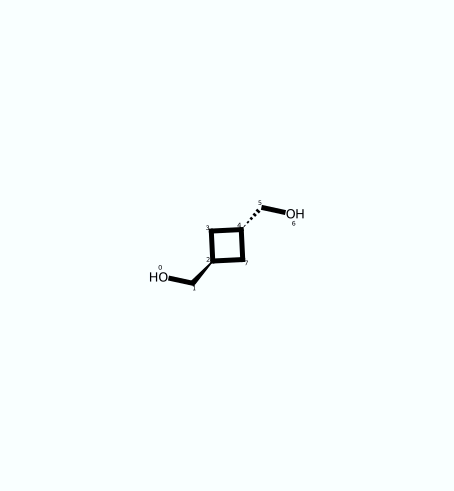 OC[C@H]1C[C@H](CO)C1